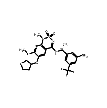 COc1nc2c(cc1OC1CCOC1)C(N[C@H](C)c1cc(N)cc(C(F)(F)F)c1)=NS(=O)(=O)N2C